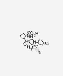 CC1(C)CN(C(=O)[C@H]2CCC[C@@H]2NC(=O)O)CCN1c1ccc(Cl)cc1